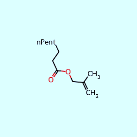 C=C(C)COC(=O)CCCCCCC